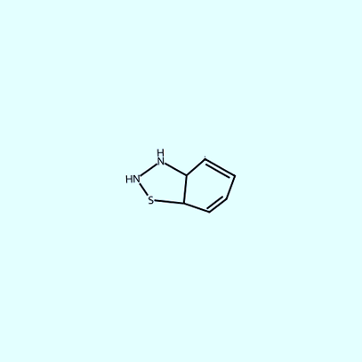 [C]1=CC=CC2SNNC12